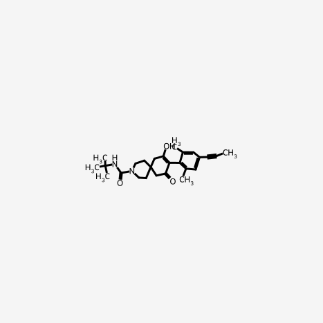 CC#Cc1cc(C)c(C2=C(O)CC3(CCN(C(=O)NC(C)(C)C)CC3)CC2=O)c(C)c1